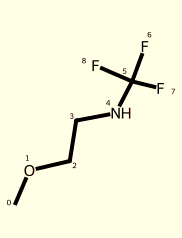 COCCNC(F)(F)F